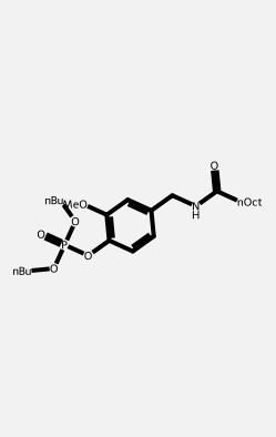 CCCCCCCCC(=O)NCc1ccc(OP(=O)(OCCCC)OCCCC)c(OC)c1